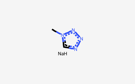 Cn1cnnn1.[NaH]